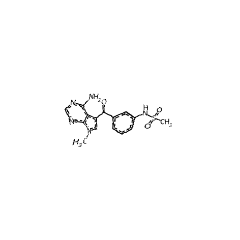 Cn1cc(C(=O)c2cccc(NS(C)(=O)=O)c2)c2c(N)ncnc21